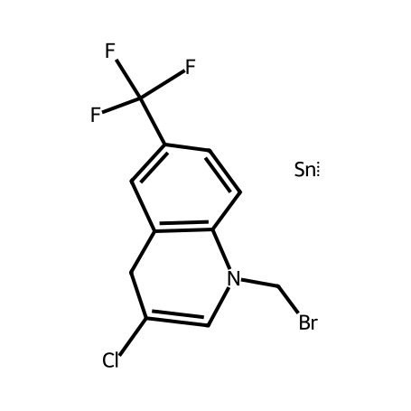 FC(F)(F)c1ccc2c(c1)CC(Cl)=CN2CBr.[Sn]